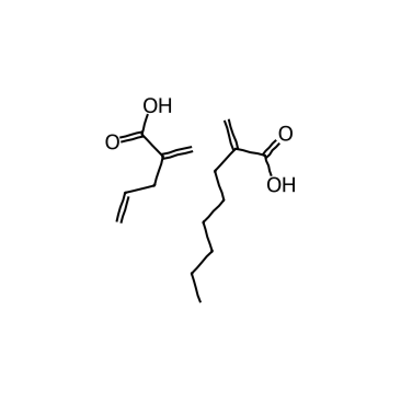 C=C(CCCCCC)C(=O)O.C=CCC(=C)C(=O)O